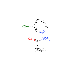 CCOC(=O)C(N)=O.Clc1cccnc1